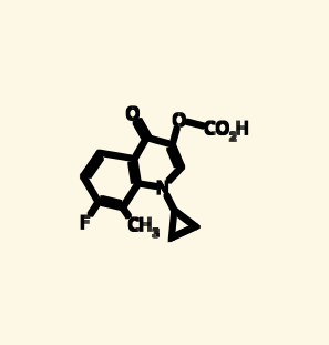 Cc1c(F)ccc2c(=O)c(OC(=O)O)cn(C3CC3)c12